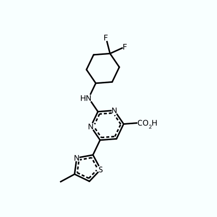 Cc1csc(-c2cc(C(=O)O)nc(NC3CCC(F)(F)CC3)n2)n1